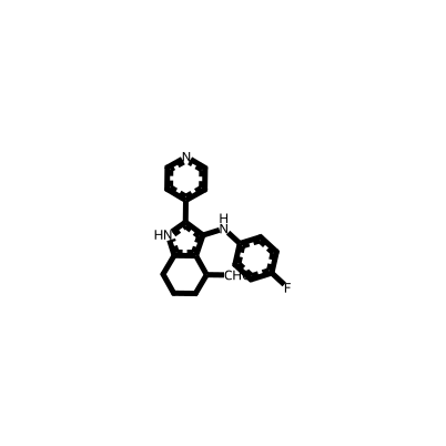 O=CC1CCCc2[nH]c(-c3ccncc3)c(Nc3ccc(F)cc3)c21